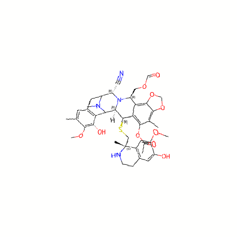 COc1cc2c(cc1O)CCN[C@]2(C)CS[C@@H]1c2c(OC(C)=O)c(C)c3c(c2[C@H](COC=O)N2[C@@H]1C1c4c(cc(C)c(OC)c4O)CC([C@@H]2C#N)N1C)OCO3